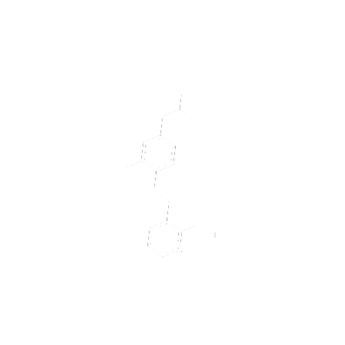 CC(C)Sc1ncccc1COc1ccc(CC(C)C(=O)O)cc1F